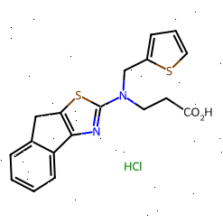 Cl.O=C(O)CCN(Cc1cccs1)c1nc2c(s1)Cc1ccccc1-2